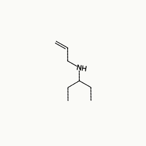 C=CCNC(CC)CC